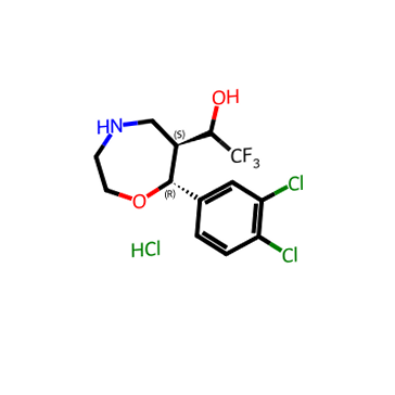 Cl.OC([C@@H]1CNCCO[C@H]1c1ccc(Cl)c(Cl)c1)C(F)(F)F